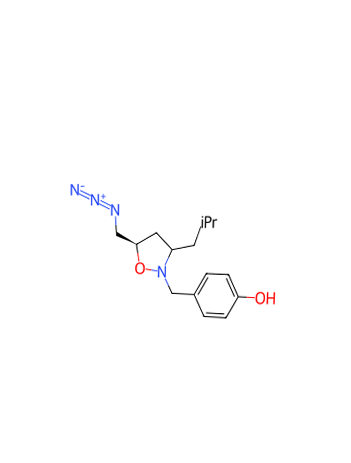 CC(C)CC1C[C@H](CN=[N+]=[N-])ON1Cc1ccc(O)cc1